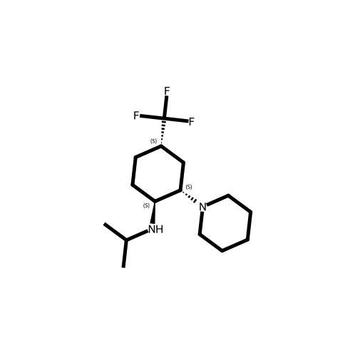 CC(C)N[C@H]1CC[C@H](C(F)(F)F)C[C@@H]1N1CCCCC1